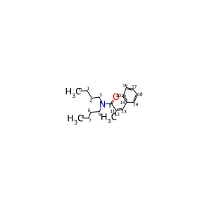 CCCCN(CCCC)C(=O)C(C)=Cc1ccccc1